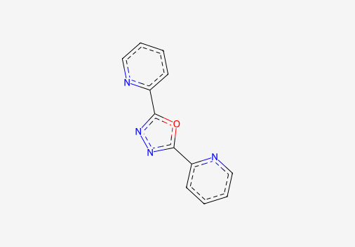 c1ccc(-c2nnc(-c3ccccn3)o2)nc1